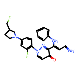 N=C/C=C(\Nc1ccccc1)c1nn(-c2ccc(N3CCC(CF)C3)cc2F)ccc1=O